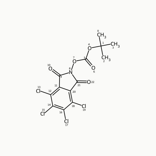 CC(C)(C)OC(=O)ON1C(=O)c2c(Cl)c(Cl)c(Cl)c(Cl)c2C1=O